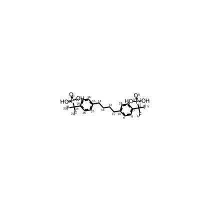 O=P(O)(O)C(F)(F)c1ccc(CCCCc2ccc(C(F)(F)P(=O)(O)O)cc2)cc1